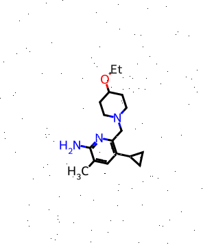 CCOC1CCN(Cc2nc(N)c(C)cc2C2CC2)CC1